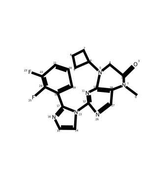 CN1C(=O)CN(C2CCC2)c2nc(-n3ccnc3-c3cccc(F)c3F)ncc21